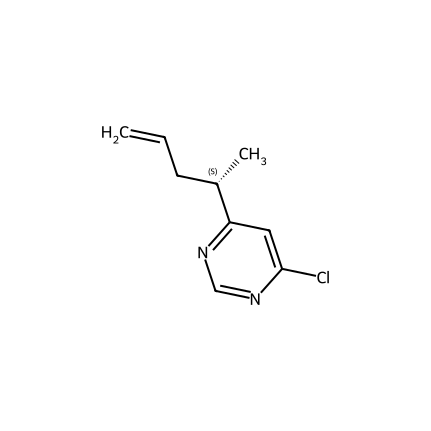 C=CC[C@H](C)c1cc(Cl)ncn1